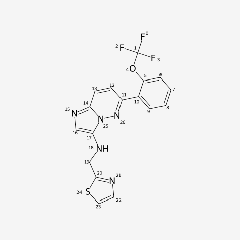 FC(F)(F)Oc1ccccc1-c1ccc2ncc(NCc3nccs3)n2n1